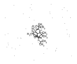 CC(C)CPC(=O)c1c(C(C)(C)C)cc(C(C)(C)C)cc1C(C)(C)C